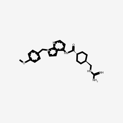 COc1ccc(Cn2ccc3c(NC(=O)[C@H]4CC[C@H](CNC(=N)N)CC4)ccnc32)cc1